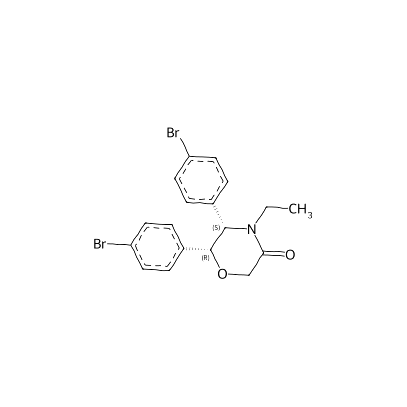 CCN1C(=O)CO[C@H](c2ccc(Br)cc2)[C@@H]1c1ccc(Br)cc1